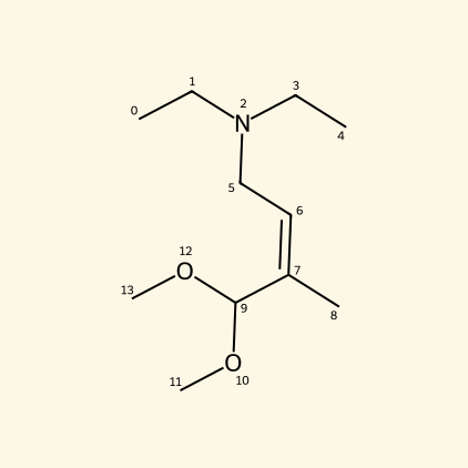 CCN(CC)CC=C(C)C(OC)OC